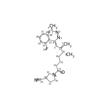 C=C/N=N\C(=C/C(=C)[C@H](C)CCCC(=O)N1CCC(C#N)C1)c1c(F)cccc1F